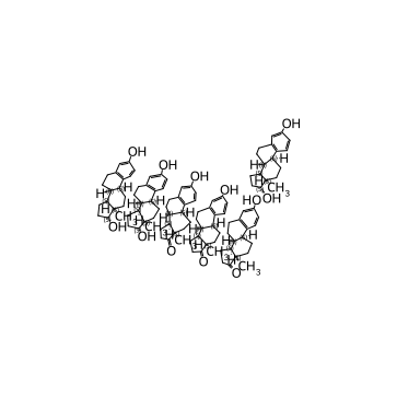 C[C@]12CC[C@@H]3c4ccc(O)cc4CC[C@H]3[C@@H]1CCC2=O.C[C@]12CC[C@@H]3c4ccc(O)cc4CC[C@H]3[C@@H]1CCC2=O.C[C@]12CC[C@@H]3c4ccc(O)cc4CC[C@H]3[C@@H]1CCC2=O.C[C@]12CC[C@@H]3c4ccc(O)cc4CC[C@H]3[C@@H]1CC[C@@H]2O.C[C@]12CC[C@@H]3c4ccc(O)cc4CC[C@H]3[C@@H]1CC[C@@H]2O.C[C@]12CC[C@@H]3c4ccc(O)cc4CC[C@H]3[C@@H]1CC[C@@H]2O